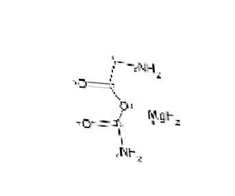 NCC(=O)OC(N)=O.[MgH2]